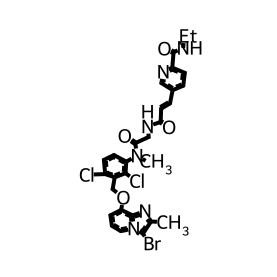 CCNC(=O)c1ccc(C=CC(=O)NCC(=O)N(C)c2ccc(Cl)c(COc3cccn4c(Br)c(C)nc34)c2Cl)cn1